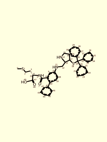 CSCC[C@H](NC(=O)c1cc(NCC2NCCC2SC(c2ccccc2)(c2ccccc2)c2ccccc2)ccc1-c1ccccc1)C(=O)O